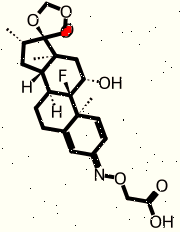 C[C@H]1C[C@H]2[C@@H]3CCC4=C/C(=N/OCC(=O)O)C=C[C@]4(C)[C@@]3(F)[C@@H](O)C[C@]2(C)[C@]12OCOC21COCO1